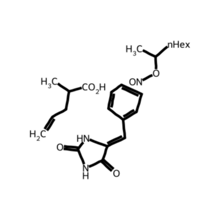 C=CCC(C)C(=O)O.CCCCCCC(C)ON=O.O=C1NC(=O)C(=Cc2ccccc2)N1